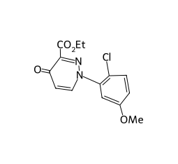 CCOC(=O)c1nn(-c2cc(OC)ccc2Cl)ccc1=O